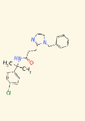 CC(C)(NC(=O)CCc1nccn1Cc1ccccc1)c1ccc(Cl)cc1